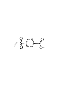 C=CS(=O)(=O)c1ccc(C(=O)OC)cc1